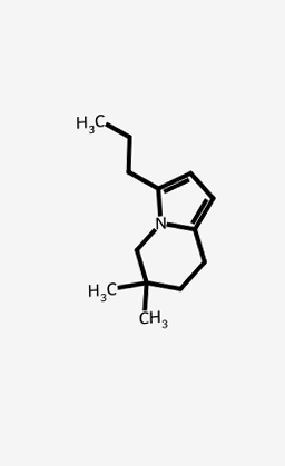 CCCc1ccc2n1CC(C)(C)CC2